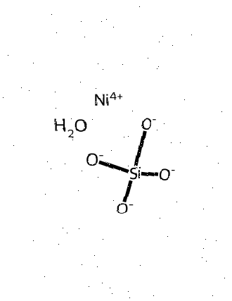 O.[Ni+4].[O-][Si]([O-])([O-])[O-]